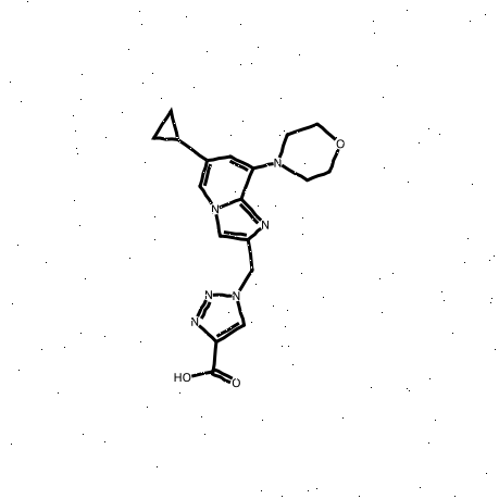 O=C(O)c1cn(Cc2cn3cc(C4CC4)cc(N4CCOCC4)c3n2)nn1